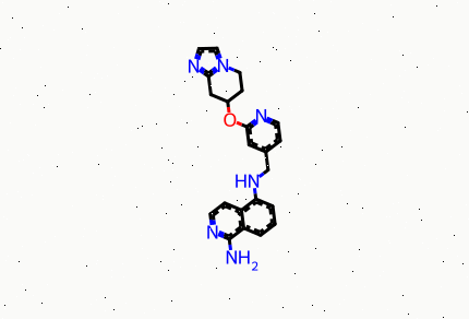 Nc1nccc2c(NCc3ccnc(OC4CCn5ccnc5C4)c3)cccc12